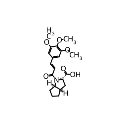 COc1cc(C=CC(=O)N2[C@H](C(=O)O)C[C@@H]3CCC[C@@H]32)cc(OC)c1OC